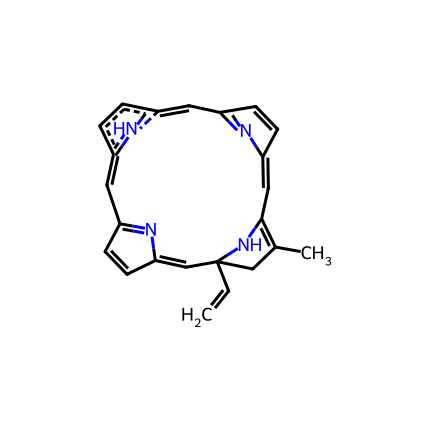 C=CC12C=C3C=CC(=N3)C=c3ccc([nH]3)=CC3=NC(=CC(=C(C)C1)N2)C=C3